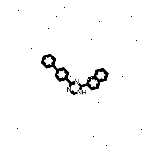 C1=NC(c2ccc(-c3ccccc3)cc2)=NC(c2ccc3ccccc3c2)N1